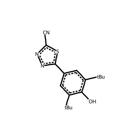 CC(C)(C)c1cc(-c2nnc(C#N)s2)cc(C(C)(C)C)c1O